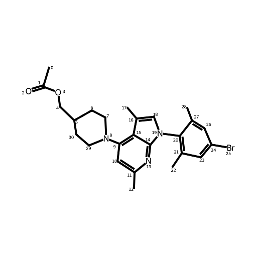 CC(=O)OCC1CCN(c2cc(C)nc3c2c(C)cn3-c2c(C)cc(Br)cc2C)CC1